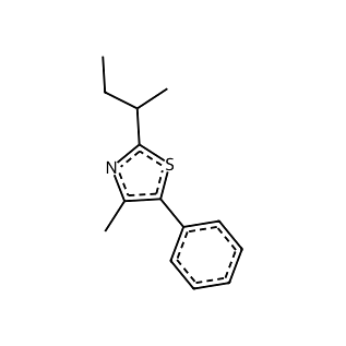 CCC(C)c1nc(C)c(-c2ccccc2)s1